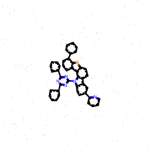 c1ccc(-c2nc(-c3ccccc3)nc(-n3c4ccc(-c5ccccn5)cc4c4ccc5sc6c(-c7ccccc7)cccc6c5c43)n2)cc1